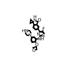 O=C1NC2(CC2)c2ccc(-c3nc(Nc4cc(N5CCNCC5)ccc4OC4COC4)ncc3F)cc21